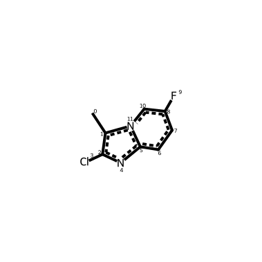 Cc1c(Cl)nc2ccc(F)cn12